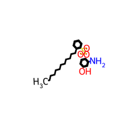 CCCCCCCCCCCCc1ccccc1S(=O)(=O)Oc1ccc(O)cc1N